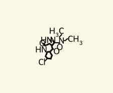 CCCN(CCC)C(=O)c1n[nH]c2c(=O)[nH]c3cc(Cl)ccc3c(=O)c12